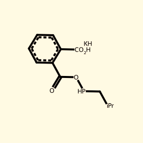 CC(C)CPOC(=O)c1ccccc1C(=O)O.[KH]